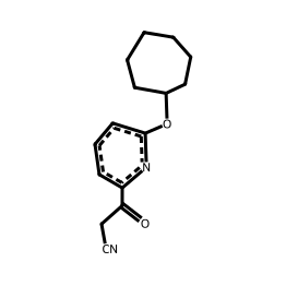 N#CCC(=O)c1cccc(OC2CCCCCC2)n1